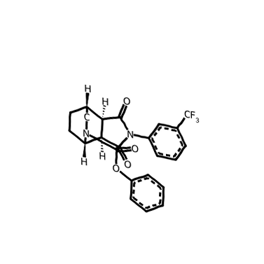 O=C1[C@@H]2[C@H]3CC[C@@H]([C@@H]2C(=O)N1c1cccc(C(F)(F)F)c1)N(C(=O)Oc1ccccc1)C3